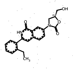 CCc1ccccc1-c1cc2ccc(N3C[C@@H](CO)OC3=O)cc2c(=O)[nH]1